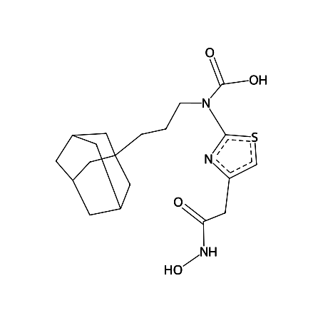 O=C(Cc1csc(N(CCCC23CC4CC(CC(C4)C2)C3)C(=O)O)n1)NO